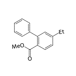 CCc1ccc(C(=O)OC)c(-c2ccccc2)c1